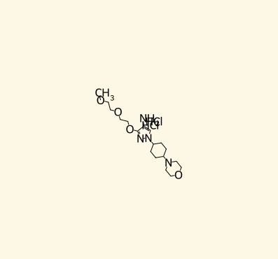 COCCOCCOc1nn(C2CCC(N3CCOCC3)CC2)cc1N.Cl.Cl